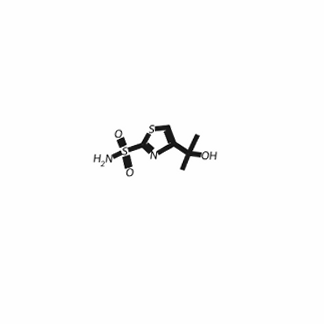 CC(C)(O)c1csc(S(N)(=O)=O)n1